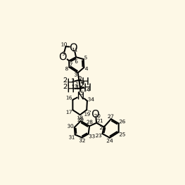 [2H]C([2H])(c1ccc2c(c1)OCO2)C([2H])([2H])N1CCC[C@@H](OC(c2ccccc2)c2ccccc2)C1